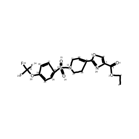 CCOC(=O)c1coc(C2=CCN(S(=O)(=O)c3ccc(OC(F)(F)F)cc3)CC2)n1